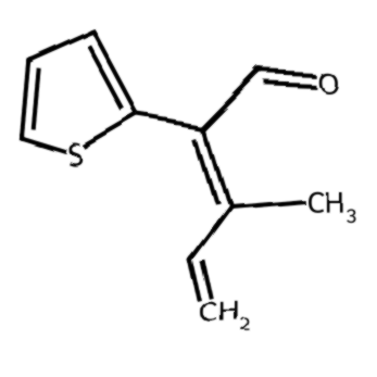 C=CC(C)=C(C=O)c1cccs1